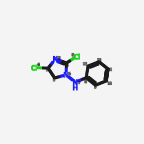 ClC1=NC(Cl)CN1Nc1ccccc1